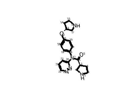 O=C([C@H]1CCNC1)N(c1ccc(O[C@@H]2CCNC2)cc1)c1cccnn1